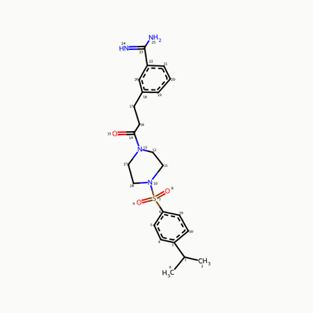 CC(C)c1ccc(S(=O)(=O)N2CCN(C(=O)CCc3cccc(C(=N)N)c3)CC2)cc1